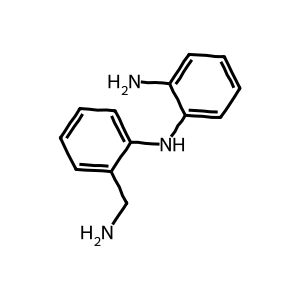 NCc1ccccc1Nc1ccccc1N